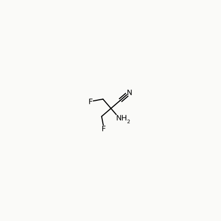 N#CC(N)(CF)CF